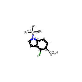 CC(C)[Si](C(C)C)(C(C)C)n1ccc2c(F)c(C(=O)O)ccc21